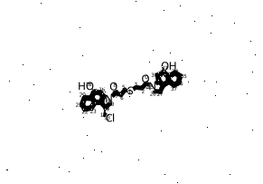 O=C(CCSCCC(=O)N1C[C@@H](CCl)c2c1cc(O)c1ccccc21)N1CCc2c1cc(O)c1ccccc21